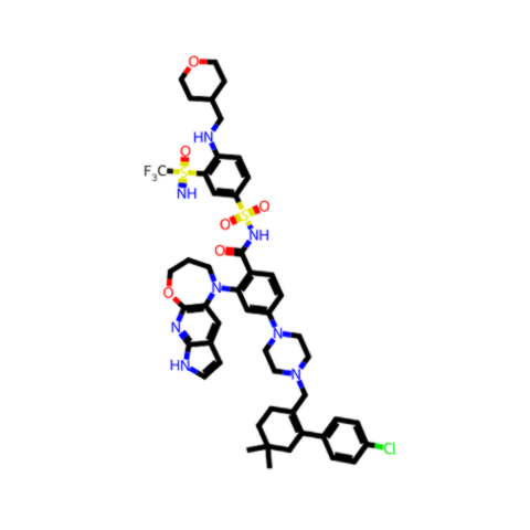 CC1(C)CCC(CN2CCN(c3ccc(C(=O)NS(=O)(=O)c4ccc(NCC5CCOCC5)c(S(=N)(=O)C(F)(F)F)c4)c(N4CCCOc5nc6[nH]ccc6cc54)c3)CC2)=C(c2ccc(Cl)cc2)C1